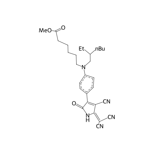 CCCCC(CC)CN(CCCCCC(=O)OC)c1ccc(C2=C(C#N)C(=C(C#N)C#N)NC2=O)cc1